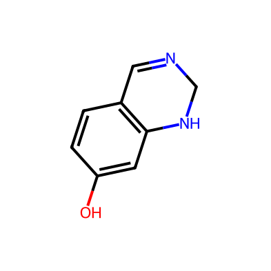 Oc1ccc2c(c1)NCN=C2